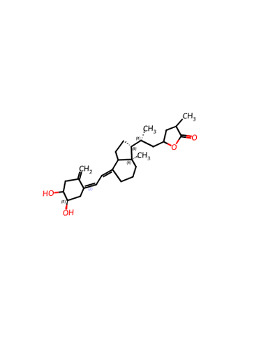 C=C1CC(O)[C@H](O)C/C1=C/C=C1CCC[C@@]2(C)C1CC[C@@H]2[C@H](C)CC1CC(C)C(=O)O1